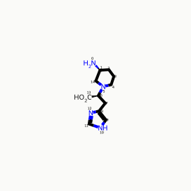 N[C@H]1CCCN([C@@H](Cc2c[nH]cn2)C(=O)O)C1